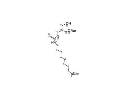 CCCCCCCCCCCCCCCCCCNC(=O)OCC(CO)COC